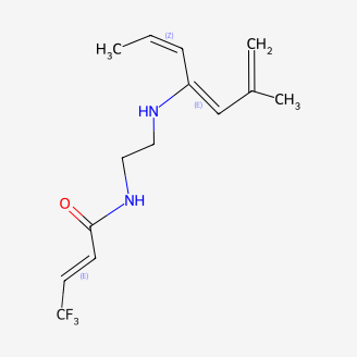 C=C(C)/C=C(\C=C/C)NCCNC(=O)/C=C/C(F)(F)F